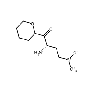 C[S+]([O-])CC[C@H](N)C(=O)C1CCCCO1